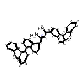 N=C(/N=C(\N)c1cccc2c(-c3cccc4oc5ccccc5c34)cccc12)c1ccc2c(ccc3oc4ccccc4c32)c1